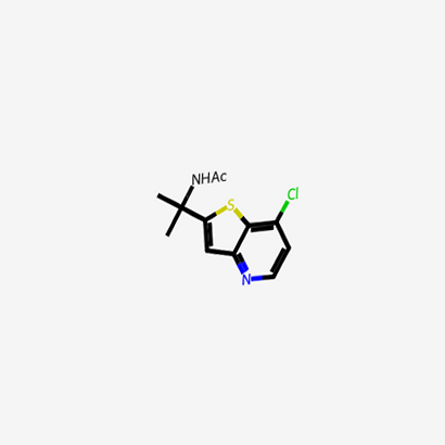 CC(=O)NC(C)(C)c1cc2nccc(Cl)c2s1